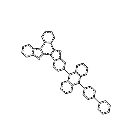 c1ccc(-c2ccc(-c3c4ccccc4c(-c4ccc5c(c4)oc4c6ccccc6c6c7ccccc7oc6c54)c4ccccc34)cc2)cc1